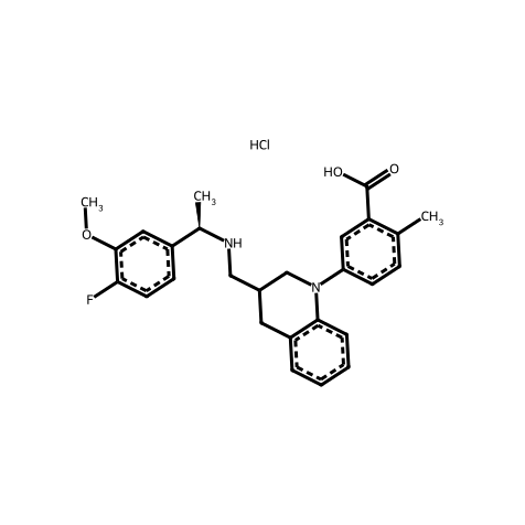 COc1cc([C@@H](C)NCC2Cc3ccccc3N(c3ccc(C)c(C(=O)O)c3)C2)ccc1F.Cl